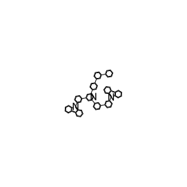 c1ccc(-c2cccc(-c3ccc(-c4cc(-c5cccc(-n6c7ccccc7c7ccccc76)c5)cc(-c5cccc(-c6cccc(-n7c8ccccc8c8ccccc87)c6)c5)n4)cc3)c2)cc1